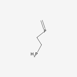 C=PCCP